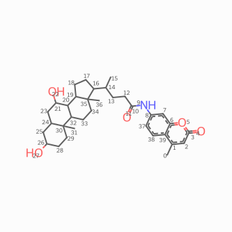 Cc1cc(=O)oc2cc(NC(=O)CCC(C)C3CCC4C5C(O)CC6CC(O)CCC6(C)C5CCC34C)ccc12